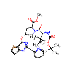 COC(=O)C1C[C@@H](Oc2nc(-c3ccccn3)nc3ccsc23)CN1C(=O)[C@@H](NC(=O)OC(C)(C)C)C(C)(C)C